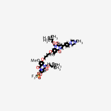 COc1cc2c(cc1OCCCCCOc1cc3c(cc1OC)C(=O)N1C=C(c4ccc(N5CCN(C)CC5)cc4)C[C@H]1C(=O)N3COCC[Si](C)(C)C)N(COCC[Si](C)(C)C)C(=O)[C@@H]1CC(OS(=O)(=O)C(F)(F)F)=CN1C2=O